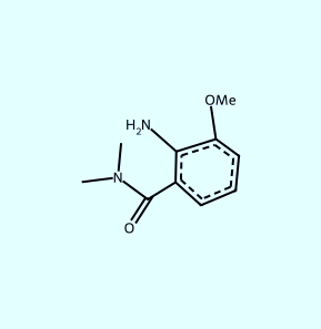 COc1cccc(C(=O)N(C)C)c1N